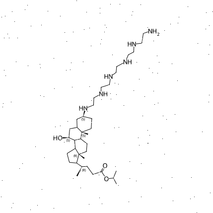 CC(C)OC(=O)CC[C@@H](C)C1CCC2C3C(CC[C@@]21C)[C@@]1(C)CC[C@H](NCCNCCNCCNCCNCCN)CC1C[C@@H]3O